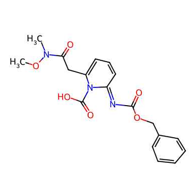 CON(C)C(=O)Cc1ccc/c(=N\C(=O)OCc2ccccc2)n1C(=O)O